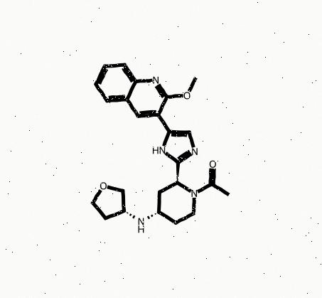 COc1nc2ccccc2cc1-c1cnc([C@@H]2C[C@@H](N[C@@H]3CCOC3)CCN2C(C)=O)[nH]1